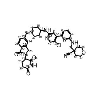 N#CC1(CNc2cccc(-c3cc(NC4CCN(Cc5ccc6c(c5)CN(C5CCC(=O)NC5=O)C6=O)CC4)ncc3Cl)n2)CCOCC1